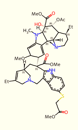 CCC1=C[C@H]2CN(C1)Cc1c([nH]c3ccc(SCC(=O)OC)cc13)[C@@](C(=O)OC)(C1C=C3C(=CC1OC)N(C)[C@H]1[C@@](O)(C(=O)OC)[C@H](OC(C)=O)C4[C@@H](CC)CCN5CC[C@]31[C@H]45)C2